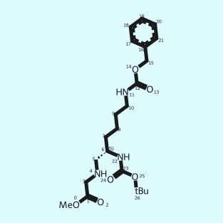 COC(=O)CNC[C@H](CCCCNC(=O)OCc1ccccc1)NC(=O)OC(C)(C)C